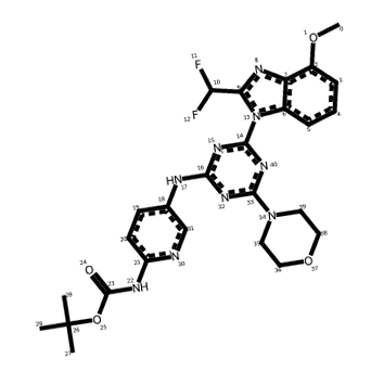 COc1cccc2c1nc(C(F)F)n2-c1nc(Nc2ccc(NC(=O)OC(C)(C)C)nc2)nc(N2CCOCC2)n1